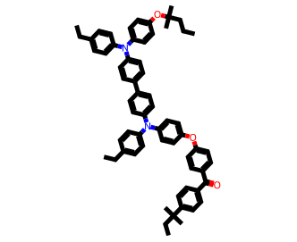 CCCC(C)(C)Oc1ccc(N(c2ccc(CC)cc2)c2ccc(-c3ccc(N(c4ccc(CC)cc4)c4ccc(Oc5ccc(C(=O)c6ccc(C(C)(C)CC)cc6)cc5)cc4)cc3)cc2)cc1